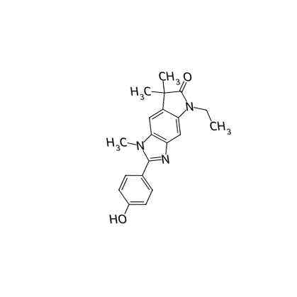 CCN1C(=O)C(C)(C)c2cc3c(cc21)nc(-c1ccc(O)cc1)n3C